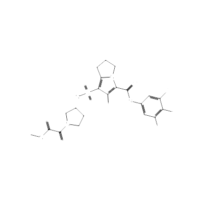 CNC(=O)C(=O)N1CC[C@@H](NS(=O)(=O)c2c(Cl)c(C(=O)Nc3cc(F)c(F)c(F)c3)n3c2CCC3)C1